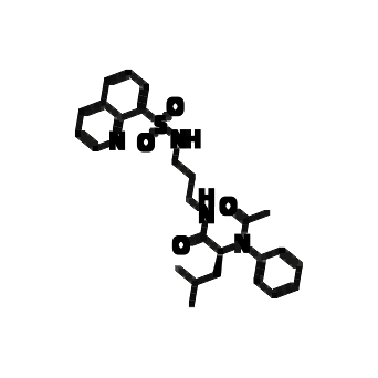 CC(=O)N(c1ccccc1)[C@@H](CC(C)C)C(=O)NCCCNS(=O)(=O)c1cccc2cccnc12